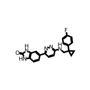 O=c1[nH]c2ccc(-c3ccc(NCC4(c5ccc(F)cc5)CC4)nn3)cc2[nH]1